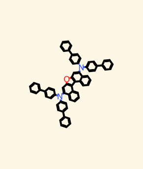 c1ccc(-c2ccc(N(c3ccc(-c4ccccc4)cc3)c3cc4oc5cc(N(c6ccc(-c7ccccc7)cc6)c6ccc(-c7ccccc7)cc6)c6ccccc6c5c4c4ccccc34)cc2)cc1